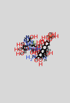 C[C@H]1c2cccc(O)c2C(=O)C2=C(O)[C@]3(O)C(=O)C(C(N)=O)=C(O)[C@@H](N(C)C)[C@@H]3[C@@H](O)[C@@H]21.O.O=P(O)(O)O.O=c1[nH]cc(F)c(=O)[nH]1.OC[C@H]1O[C@@H](n2cnc3c(O)ncnc32)[C@H](O)[C@@H]1O